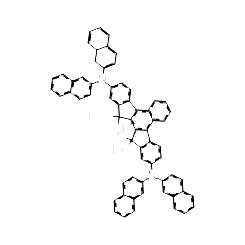 CC1(C)c2cc(N(C3=CC=C4C=CC=CC4C3)c3ccc4ccccc4c3)ccc2-c2c1c1c(c3ccccc23)-c2ccc(N(c3ccc4ccccc4c3)c3ccc4ccccc4c3)cc2C1(C)C